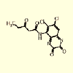 CCC(=O)CC(=O)Nc1c(Cl)c(Cl)cc2c1=NC(=O)C(=O)N=2